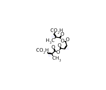 C/C(=C/C(=O)O)C(=O)OC(=O)/C=C\C(=O)OC(=O)/C(C)=C\C(=O)O